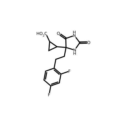 O=C1NC(=O)C(CCc2ccc(F)cc2F)(C2CC2C(=O)O)N1